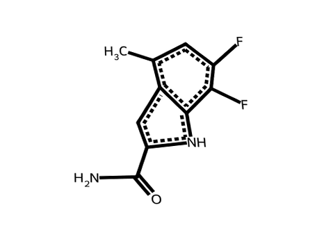 Cc1cc(F)c(F)c2[nH]c(C(N)=O)cc12